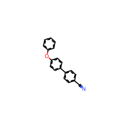 N#Cc1ccc(-c2ccc(Oc3ccccc3)cc2)cc1